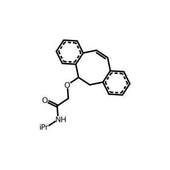 CC(C)NC(=O)COC1Cc2ccccc2/C=C\c2ccccc21